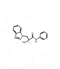 C[C@](O)(Cn1nnc2ccccc21)C(=O)Nc1ccccc1